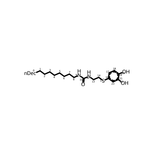 CCCCCCCCCCCCCCCCCCNC(=O)NCCSc1ccc(O)c(O)c1